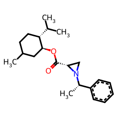 CC1CC[C@H](C(C)C)[C@@H](OC(=O)[C@@H]2CN2[C@@H](C)c2ccccc2)C1